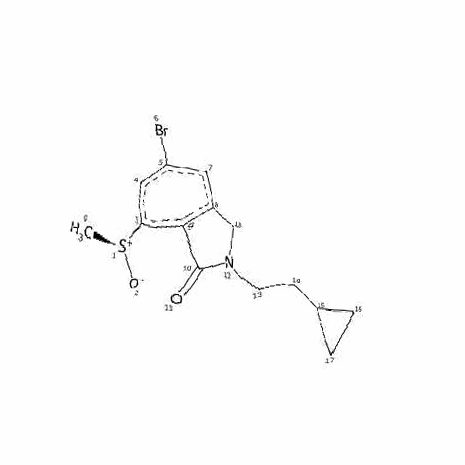 C[S@+]([O-])c1cc(Br)cc2c1C(=O)N(CCC1CC1)C2